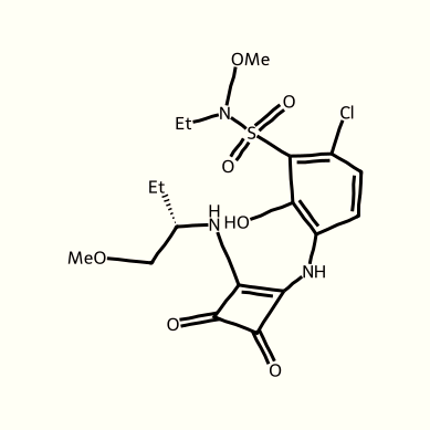 CC[C@@H](COC)Nc1c(Nc2ccc(Cl)c(S(=O)(=O)N(CC)OC)c2O)c(=O)c1=O